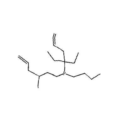 C=CCC(C)CCP(CCCC)C(CC)(CC)CC=C